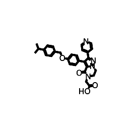 CC(C)c1ccc(COc2ccc(-c3c(-c4ccncc4)nn4c3C(=O)N(CC(=O)O)CC4)cc2)cc1